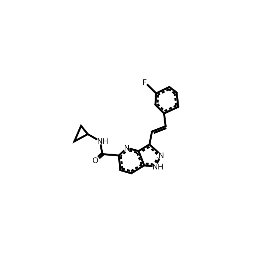 O=C(NC1CC1)c1ccc2[nH]nc(C=Cc3cccc(F)c3)c2n1